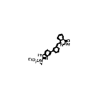 CCOC(=O)Nc1nc2cc(-c3cccc(Cc4n[nH]c(=O)c5ccccc45)c3)ccc2[nH]1